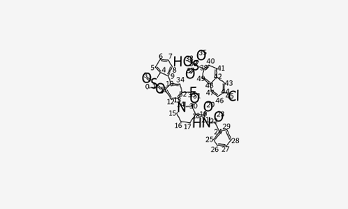 CS(=O)(=O)c1ccccc1-c1ccc(N2CCCC(C(=O)NC(=O)c3ccccc3)C2=O)c(F)c1.O=S(=O)(O)c1ccc2cc(Cl)ccc2c1